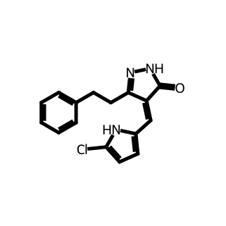 O=C1NN=C(CCc2ccccc2)C1=Cc1ccc(Cl)[nH]1